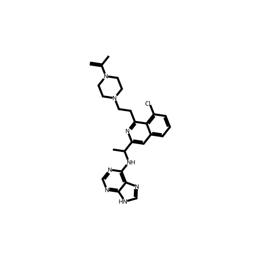 C=C(C)N1CCN(CCc2nc(C(C)Nc3ncnc4[nH]cnc34)cc3cccc(Cl)c23)CC1